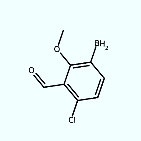 Bc1ccc(Cl)c(C=O)c1OC